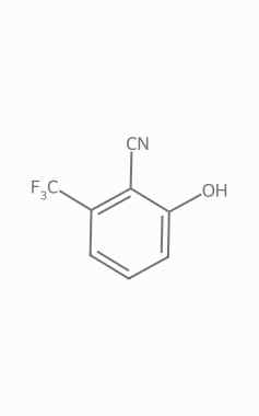 N#Cc1c(O)cccc1C(F)(F)F